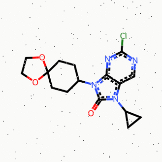 O=c1n(C2CC2)c2cnc(Cl)nc2n1C1CCC2(CC1)OCCO2